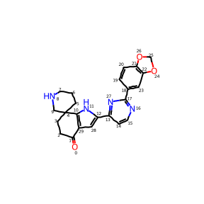 O=C1CCC2(CCCNC2)c2[nH]c(-c3ccnc(-c4ccc5c(c4)OCO5)n3)cc21